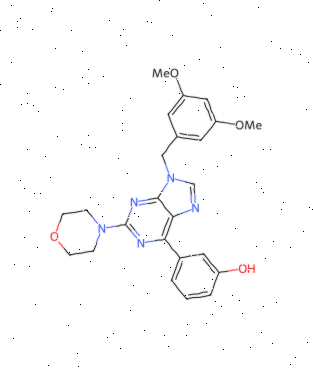 COc1cc(Cn2cnc3c(-c4cccc(O)c4)nc(N4CCOCC4)nc32)cc(OC)c1